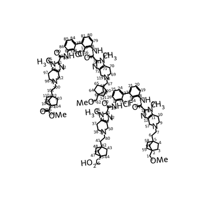 COCC12CCC(CCN3CCc4c(nc(C(=O)Nc5cccc(-c6cccc(NC(=O)c7nc8c(n7C)CCN(CCC79CCC(C(=O)O)(CC7)C9)C8)c6Cl)c5F)n4C)C3)(CC1)C2.COCC12CCC(CN3CCc4c(nc(C(=O)Nc5cccc(-c6cccc(NC(=O)c7nc8c(n7C)CCN(CCC79CCC(C(=O)OC)(CC7)C9)C8)c6Cl)c5Cl)n4C)C3)(CC1)C2